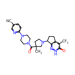 CC1(C(=O)N2CCN(c3ccc(C#N)cn3)CC2)CCN(C2CCc3c2n[nH]c(=O)c3C(F)(F)F)C1